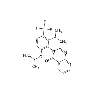 CC(C)Oc1ccc(C(F)(F)F)c(C(C)C)c1-n1cnc2ccccc2c1=O